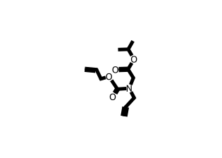 C#CCN(CC(=O)OC(C)C)C(=O)OCC=C